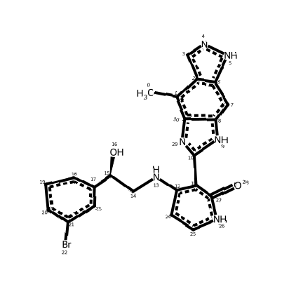 Cc1c2cn[nH]c2cc2[nH]c(-c3c(NC[C@H](O)c4cccc(Br)c4)cc[nH]c3=O)nc12